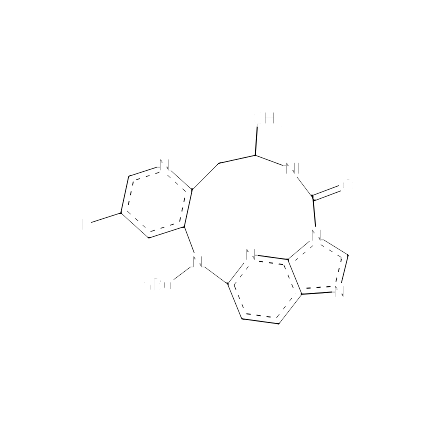 CCCCN1c2ccc3ncn(c3n2)C(=O)NC(C)Cc2ncc(F)cc21